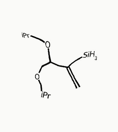 C=C([SiH3])C(OC(C)C)OC(C)C